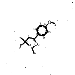 CCOC(CC(C)(C)F)c1ccc(OC)cc1